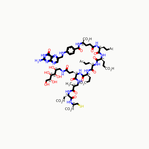 CC(=O)CC[C@H](NC(=O)CC[C@@H](NC(=O)c1ccc(NCc2cnc3nc(N)[nH]c(=O)c3n2)cc1)C(=O)O)C(=O)N[C@@H](CCC(=O)O)C(=O)N[C@@H](CCC(C)=O)C(=O)N[C@@H](CCC(=O)O)C(=O)N[C@@H](CCC(=O)NC[C@H](O)[C@@H](O)[C@H](O)[C@H](O)CO)C(=O)NC[C@H](C)C(=O)N[C@@H](CC(=O)O)C(=O)N[C@@H](CS)C(=O)O